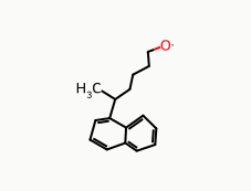 CC(CCCC[O])c1cccc2ccccc12